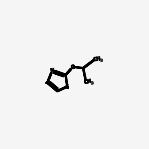 CC(C)Oc1n[c]cs1